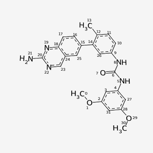 COc1cc(NC(=O)Nc2ccc(C)c(-c3ccc4nc(N)ncc4c3)c2)cc(OC)c1